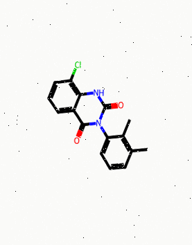 Cc1cccc(-n2c(=O)[nH]c3c(Cl)cccc3c2=O)c1C